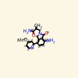 C=C(CN1Cc2c(-c3cc(OC)ccn3)ccc(N)c2C1=O)C(N)=O